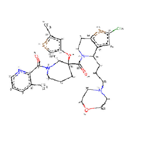 CCC[C@H]1N(C(=O)c2ncccc2C(F)(F)F)CCC[C@@]1(Oc1csc(C(F)(F)F)c1)C(=O)N1CCc2sc(Cl)cc2C1CCCN1CCOCC1